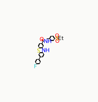 CCS(=O)(=O)c1ccc(CNC(=O)c2ccc3c(c2)Nc2ccc(-c4ccc(F)cc4)cc2S3)cc1